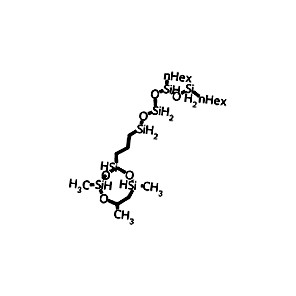 CCCCCC[SiH2]O[SiH](CCCCCC)O[SiH2]O[SiH2]CCC[SiH]1O[SiH](C)CC(C)O[SiH](C)O1